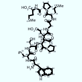 CSCC[C@H](NC(=O)[C@@H]1CCCN1C(=O)[C@H](CCSC)NC(=O)CNC(=O)[C@H](CCC(=O)O)NC(=O)[C@@H]1CCCN1C(=O)[C@@H](NC(=O)[C@H](CO)NC(=O)[C@H](CC(C)C)NC(=O)[C@@H](N)Cc1c[nH]c2ccccc12)[C@@H](C)O)C(=O)O